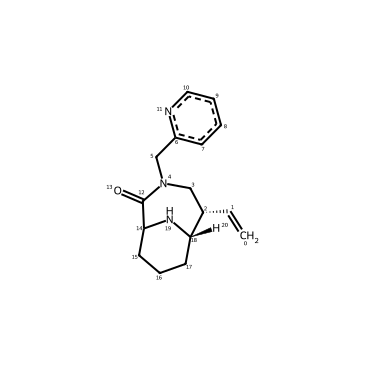 C=C[C@H]1CN(Cc2ccccn2)C(=O)C2CCC[C@@H]1N2